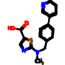 CN(Cc1ccc(-c2cccnc2)cc1)c1ncc(C(=O)O)s1